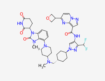 CN(C[C@H]1CC[C@H](n2cc(NC(=O)c3cnn4ccc(C5COC5)nc34)c(C(F)F)n2)CC1)C1CCN(c2cccc3c2n(C)c(=O)n3C2CCC(=O)NC2=O)CC1